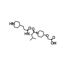 CC(C)[C@H](NC(=O)CCC1CCNCC1)C(=O)N1CCC(OCC(=O)O)CC1